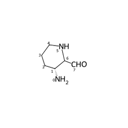 N[C@@H]1CCCNC1C=O